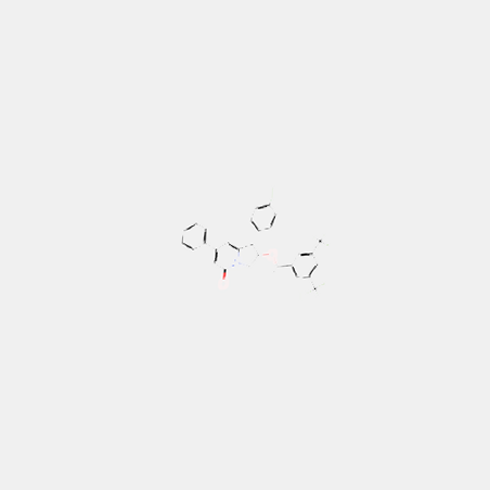 C[C@@H](O[C@H]1Cn2c(cc(-c3ccccc3)cc2=O)[C@@H]1c1ccc(F)cc1)c1cc(C(F)(F)F)cc(C(F)(F)F)c1